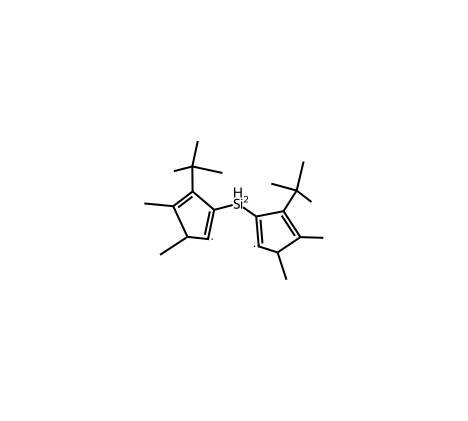 CC1=C(C(C)(C)C)C([SiH2]C2=[C]C(C)C(C)=C2C(C)(C)C)=[C]C1C